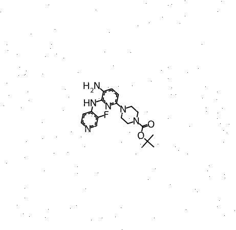 CC(C)(C)OC(=O)N1CCN(c2ccc(N)c(Nc3ccncc3F)n2)CC1